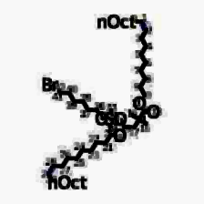 CCCCCCCC/C=C\CCCCCCCCOC(=O)C(C)(C)CC(OCCCCCCCC/C=C\CCCCCCCC)O[Si](C)(C)OCCCCCCBr